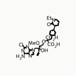 C#C[C@](O)(Cn1cnc2c(N)nc(Cl)nc21)[C@@H](COC(Cc1ccc(-c2cccn(CC)c2=O)cc1)(C(=O)O)C(=O)O)OC